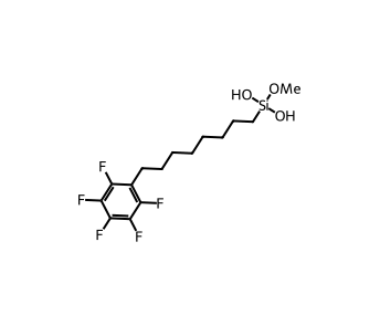 CO[Si](O)(O)CCCCCCCCc1c(F)c(F)c(F)c(F)c1F